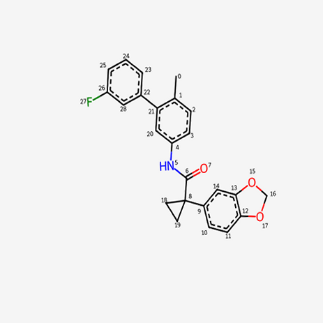 Cc1ccc(NC(=O)C2(c3ccc4c(c3)OCO4)CC2)cc1-c1cccc(F)c1